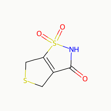 O=C1NS(=O)(=O)C2=C1CSC2